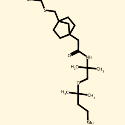 CC(C)(C)CCC(C)(C)OCC(C)(C)NC(=O)CC12CCC(CSCC(C)(C)C)(CC1)C2